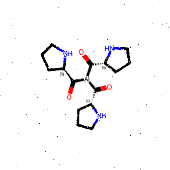 O=[C]([C@H]1CCCN1)[Al]([C](=O)[C@H]1CCCN1)[C](=O)[C@H]1CCCN1